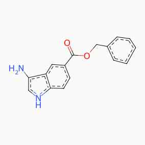 Nc1c[nH]c2ccc(C(=O)OCc3ccccc3)cc12